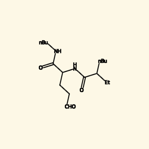 CCCCNC(=O)C(CCC=O)NC(=O)C(CC)CCCC